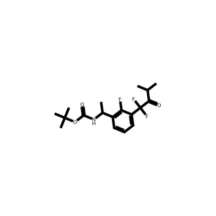 CC(C)C(=O)C(F)(F)c1cccc(C(C)NC(=O)OC(C)(C)C)c1F